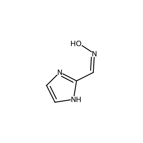 O/N=C\c1ncc[nH]1